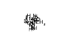 C[C@]1(c2nc(-c3nc(OC[C@@]45CCCN4C[C@H](F)C5)nc(N4C[C@H]5CC[C@@H](C4)N5)n3)no2)CCCc2sc(N)c(C#N)c21